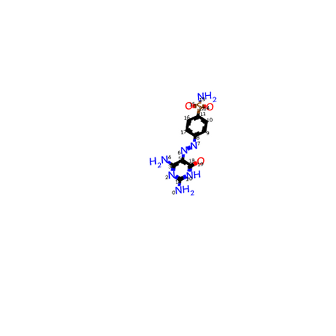 Nc1nc(N)c(N=Nc2ccc(S(N)(=O)=O)cc2)c(=O)[nH]1